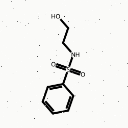 O=S(=O)(NCCO)c1[c]cccc1